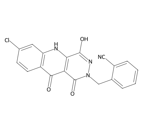 N#Cc1ccccc1Cn1nc(O)c2[nH]c3cc(Cl)ccc3c(=O)c2c1=O